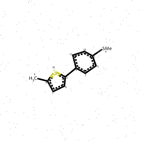 CSc1ccc(-c2ccc(C)s2)cc1